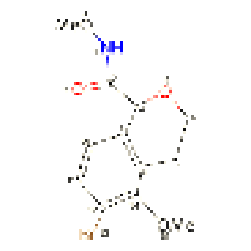 CONC(=O)C1OCCc2c1ccc(Br)c2OC